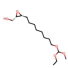 CCOC(OC)OCCCCCCCC[C@@H]1O[C@H]1CO